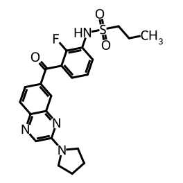 CCCS(=O)(=O)Nc1cccc(C(=O)c2ccc3ncc(N4CCCC4)nc3c2)c1F